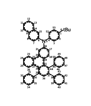 CC(C)(C)c1ccc(N(c2ccc3ccccc3c2)c2ccc3c(c2)c2ccccc2c2c(-c4ccccc4)cc(-c4ccccc4)c(-c4ccccc4)c32)cc1